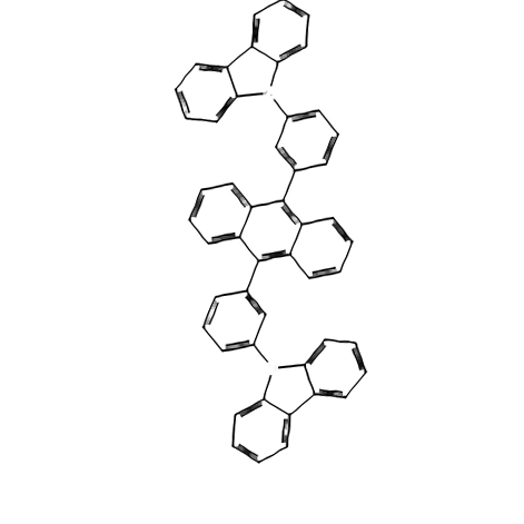 c1cc(-c2c3ccccc3c(-c3cccc(-n4c5ccccc5c5ccccc54)c3)c3ccccc23)cc(-n2c3ccccc3c3ccccc32)c1